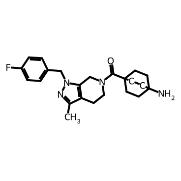 Cc1nn(Cc2ccc(F)cc2)c2c1CCN(C(=O)C13CCC(N)(CC1)CC3)C2